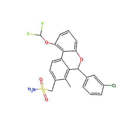 Cc1c(CS(N)(=O)=O)ccc2c1C(c1cccc(Cl)c1)Oc1cccc(OC(F)F)c1-2